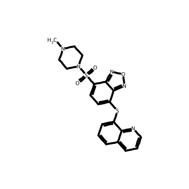 CN1CCN(S(=O)(=O)c2ccc(Sc3cccc4cccnc34)c3nonc23)CC1